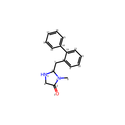 CN1C(=O)CNC1Cc1ccccc1-c1ccccc1